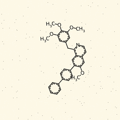 COc1cc2ccnc(Cc3cc(OC)c(OC)c(OC)c3)c2cc1-c1ccc(-c2ccccc2)cc1